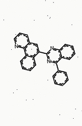 c1ccc(-c2nc(-c3cc4cccnc4c4ccccc34)nc3ccccc23)cc1